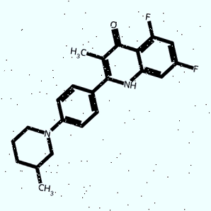 Cc1c(-c2ccc(N3CCCC(C)C3)cc2)[nH]c2cc(F)cc(F)c2c1=O